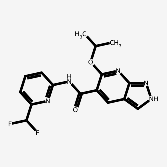 CC(C)Oc1nc2n[nH]cc2cc1C(=O)Nc1cccc(C(F)F)n1